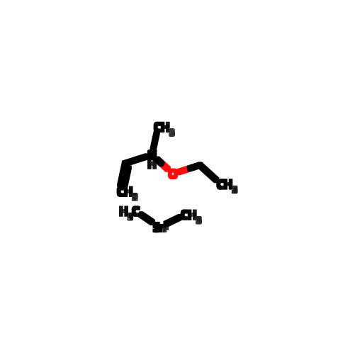 C=C[SiH](C)OCC.[CH3][Sn][CH3]